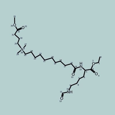 CCOC(=O)C(CCCCNC=O)NC(=O)CCCCCCCCCC[N+](C)(C)CCCC(=O)OC